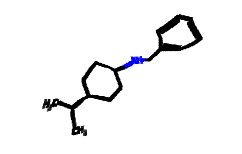 CC(C)C1CCC(NCc2ccccc2)CC1